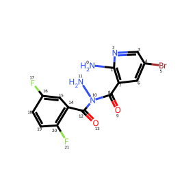 Nc1ncc(Br)cc1C(=O)N(N)C(=O)c1cc(F)ccc1F